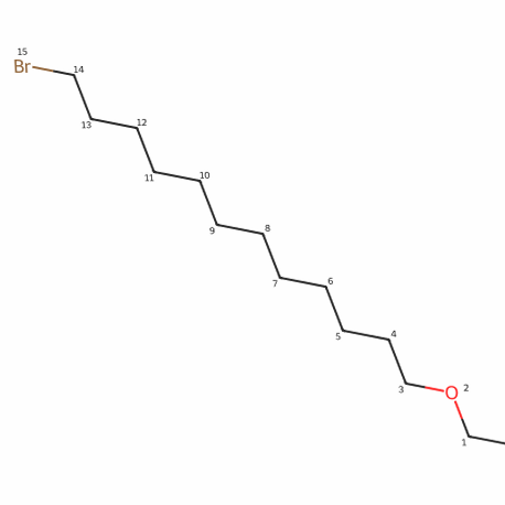 CCOCCCCCCCCCCCCBr